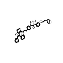 O=C(Nc1ccc(CCNc2ncnc3oc(-c4ccccc4)c(-c4ccccc4)c23)cc1)Nc1cccc(OCCN2CCOCC2)c1